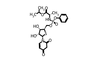 CC(C)OC(=O)[C@H](C)N[P@@](=O)(OC[C@H]1S[C@@H](N2C=CC(=O)CC2=O)[C@H](O)[C@@H]1O)Oc1ccccc1